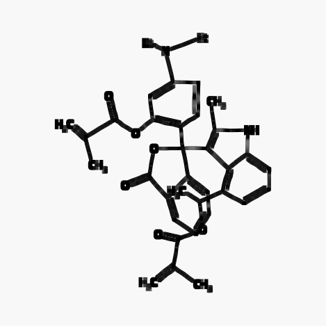 C=C(C)C(=O)Oc1cc(N(CC)CC)ccc1C1(c2c(C)[nH]c3cccc(C(C)OC(=O)C(=C)C)c23)OC(=O)c2ccccc21